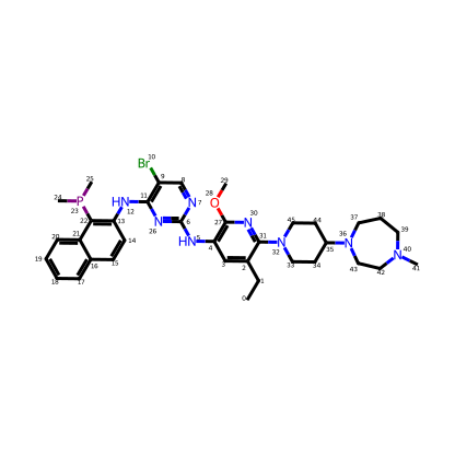 CCc1cc(Nc2ncc(Br)c(Nc3ccc4ccccc4c3P(C)C)n2)c(OC)nc1N1CCC(N2CCCN(C)CC2)CC1